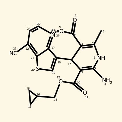 COC(=O)C1=C(C)NC(N)=C(C(=O)OCC2CC2)C1c1csc2c(C#N)ccnc12